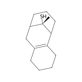 C[C@]1(S)C2CCCC1C1=C(CCCC1)C2